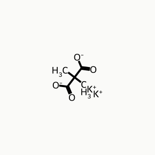 CC(C)(C(=O)[O-])C(=O)[O-].[K+].[K+]